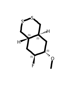 CO[C@H]1C[C@@H]2CSSC[C@H]2C[C@@H]1F